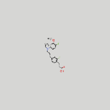 CCN(CCCc1ccc(CCC(=O)O)c(F)c1)c1ccc(F)c(OC)c1